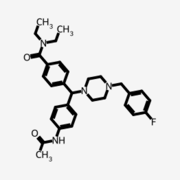 CCN(CC)C(=O)c1ccc(C(c2ccc(NC(C)=O)cc2)N2CCN(Cc3ccc(F)cc3)CC2)cc1